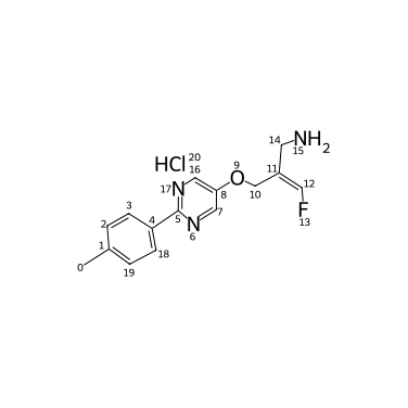 Cc1ccc(-c2ncc(OC/C(=C\F)CN)cn2)cc1.Cl